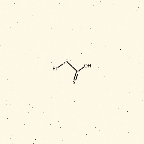 CCS[P](O)=S